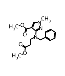 COC(=O)CCN(Cc1ccccc1)c1nn(C)cc1C(=O)OC